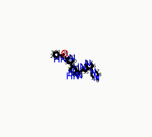 CN1CCN(c2ccnc3[nH]c(-c4n[nH]c5ncc(-c6cncc(NC(=O)C7CCCC7)c6)cc45)cc23)CC1